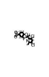 Cc1nc(C(C)(C)Oc2ccc([N+](=O)[O-])cc2F)c(Cl)cc1Cl